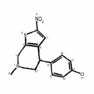 CN1Cc2sc([N+](=O)[O-])cc2C(c2ccc(Cl)cc2)C1